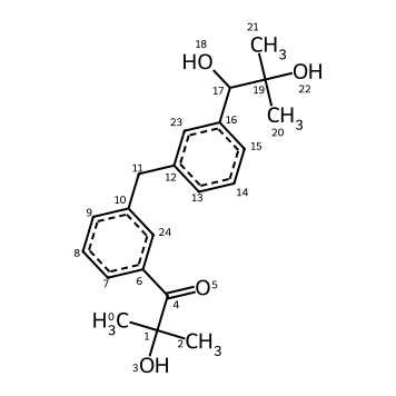 CC(C)(O)C(=O)c1cccc(Cc2cccc(C(O)C(C)(C)O)c2)c1